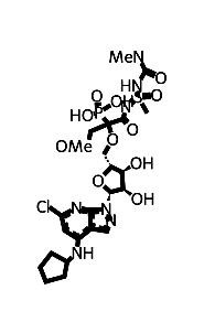 CNC(=O)NS(C)(=O)=NC(=O)C(COC)(OC[C@H]1O[C@@H](n2ncc3c(NC4CCCC4)cc(Cl)nc32)[C@H](O)[C@@H]1O)P(=O)(O)O